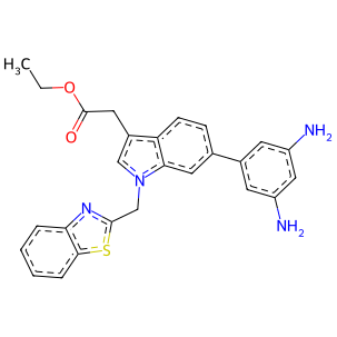 CCOC(=O)Cc1cn(Cc2nc3ccccc3s2)c2cc(-c3cc(N)cc(N)c3)ccc12